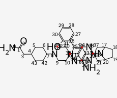 NC(=O)CC1CCC(N2CCC(c3cnc(N4C5CCC4CN(c4cc(-c6ccccc6O)nnc4N)C5)nc3)CC2)CC1